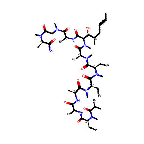 C/C=C/C[C@@H](C)[C@H](O)C(C(=O)N[C@@H](CC)C(=O)N(C)CC(=O)N(C)[C@H](C)C(N)=O)N(C)C(=O)[C@H](C(C)C)N(C)C(=O)[C@@H](CC(C)C)N(C)C(=O)[C@@H](CC(C)C)N(C)C(=O)[C@H](C)NC(=O)C(CC)NC(=O)[C@H](CC(C)C)N(C)C(=O)[C@H](C)C(C)C